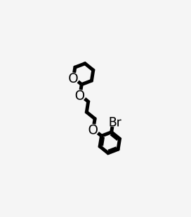 Brc1ccccc1OCCCOC1CCCCO1